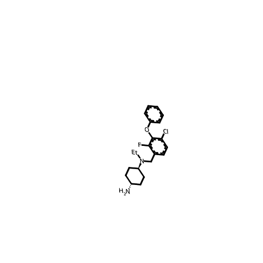 CCN(Cc1ccc(Cl)c(Oc2ccccc2)c1F)[C@H]1CC[C@H](N)CC1